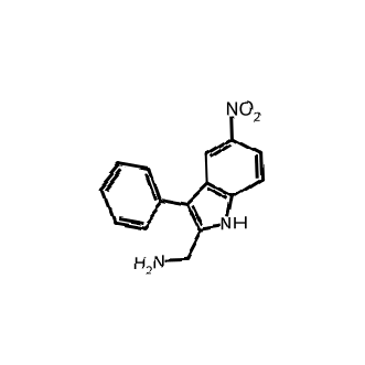 NCc1[nH]c2ccc([N+](=O)[O-])cc2c1-c1ccccc1